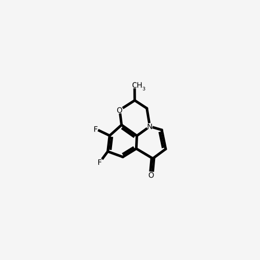 CC1Cn2ccc(=O)c3cc(F)c(F)c(c32)O1